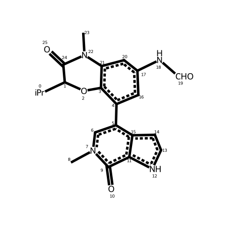 CC(C)C1Oc2c(-c3cn(C)c(=O)c4[nH]ccc34)cc(NC=O)cc2N(C)C1=O